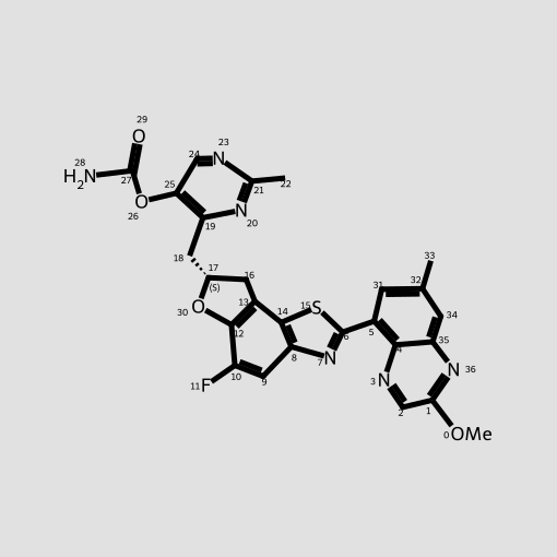 COc1cnc2c(-c3nc4cc(F)c5c(c4s3)C[C@@H](Cc3nc(C)ncc3OC(N)=O)O5)cc(C)cc2n1